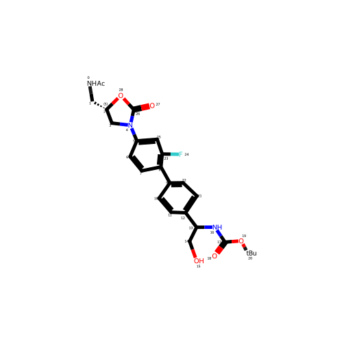 CC(=O)NC[C@H]1CN(c2ccc(-c3ccc(C(CO)NC(=O)OC(C)(C)C)cc3)c(F)c2)C(=O)O1